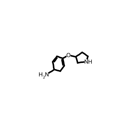 NC1C=CC(OC2CCNC2)=CC1